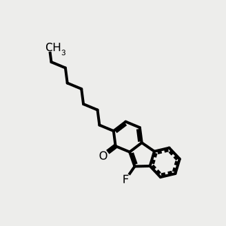 CCCCCCCCC1=CC=C2C(=C(F)c3ccccc32)C1=O